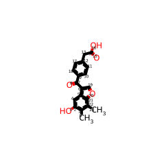 Cc1c(O)cc2c(C(=O)c3ccc(CC(=O)O)cc3)coc2c1C